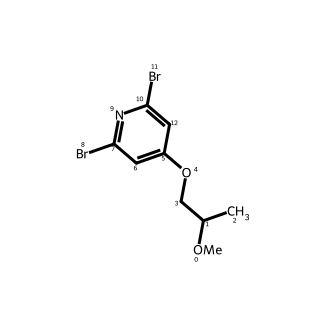 COC(C)COc1cc(Br)nc(Br)c1